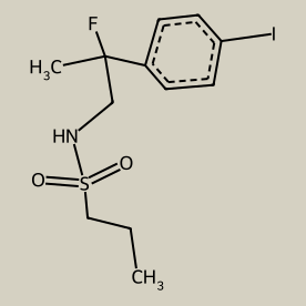 CCCS(=O)(=O)NCC(C)(F)c1ccc(I)cc1